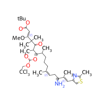 CO/C(=C\C(=O)OC(C)(C)C)C(C)(C)C(=O)C(C)[C@@H](OC(=O)OCC(Cl)(Cl)Cl)C(C)CCC/C(C)=C\C[C@H](N)/C(C)=C/c1csc(C)n1